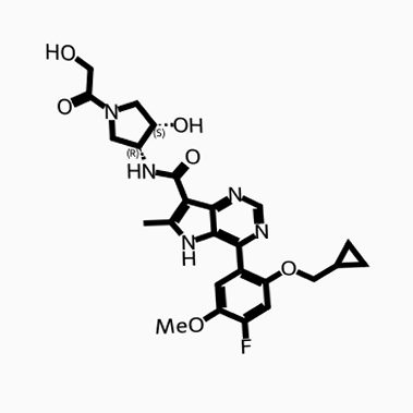 COc1cc(-c2ncnc3c(C(=O)N[C@@H]4CN(C(=O)CO)C[C@@H]4O)c(C)[nH]c23)c(OCC2CC2)cc1F